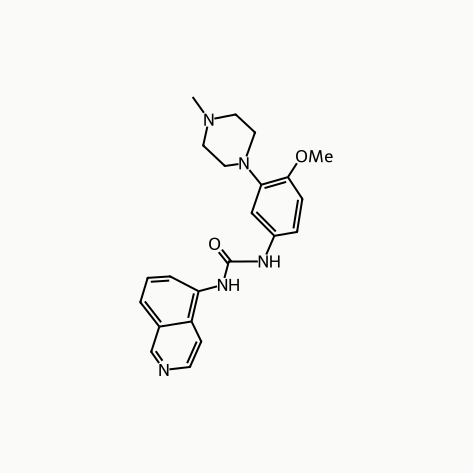 COc1ccc(NC(=O)Nc2cccc3cnccc23)cc1N1CCN(C)CC1